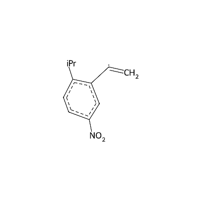 C=[C]c1cc([N+](=O)[O-])ccc1C(C)C